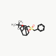 CC(C)(C)CC1C2CC3CC1CC(C2)C3CS(=O)(=O)Cc1ccccc1